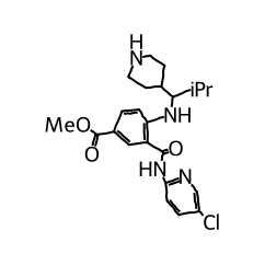 COC(=O)c1ccc(NC(C(C)C)C2CCNCC2)c(C(=O)Nc2ccc(Cl)cn2)c1